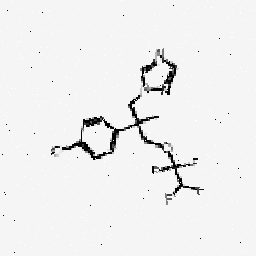 CC(COC(F)(F)C(F)F)(Cn1cncn1)c1ccc(Cl)cc1